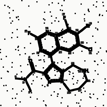 CN(C)C(=O)c1nn2c(c1-c1nc(F)nc3c(F)c(Br)c(Cl)cc13)CNCCC2